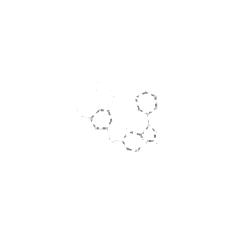 COc1cc(Nc2ccn3ncc(-c4ccccc4F)c3n2)cc(OC)c1OC